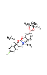 C=CC[C@]1(c2ccc(F)cc2)CCN([C@@H](C)c2ccc(B3OC(C)(C)C(C)(C)O3)cc2)C(=O)O1